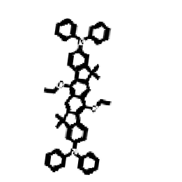 CCOc1c2c(cc3c(OCC)c4c(cc13)C(C)(C)c1cc(N(c3ccccc3)c3ccccc3)ccc1-4)C(C)(C)c1cc(N(c3ccccc3)c3ccccc3)ccc1-2